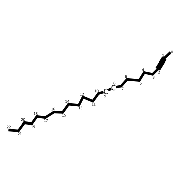 [CH2]C#CCCCCCCCCCCCCCCCCCCCC